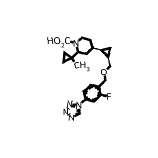 CC1(C2CC([C@H]3C[C@H]3COCc3ccc(-n4cnnn4)cc3F)CCN2C(=O)O)CC1